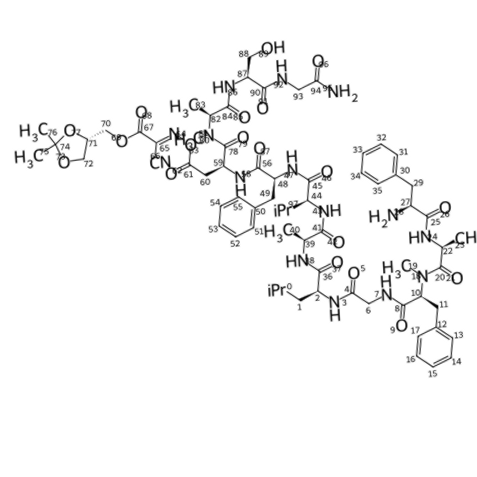 CC(C)C[C@H](NC(=O)CNC(=O)[C@H](Cc1ccccc1)N(C)C(=O)[C@H](C)NC(=O)[C@@H](N)Cc1ccccc1)C(=O)N[C@@H](C)C(=O)N[C@H](C(=O)N[C@@H](Cc1ccccc1)C(=O)N[C@@H](CC(=O)O/N=C(\C#N)C(=O)OC[C@@H]1COC(C)(C)O1)C(=O)N(C)[C@@H](C)C(=O)N[C@@H](CO)C(=O)NCC(N)=O)C(C)C